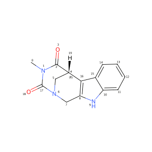 CN1C(=O)[C@H]2CN(Cc3[nH]c4ccccc4c32)C1=O